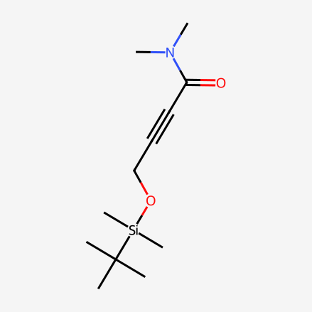 CN(C)C(=O)C#CCO[Si](C)(C)C(C)(C)C